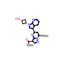 CNC(=O)c1cnn2c(NC)cc(-c3cn([C@H]4C[C@@H](O)C4)c4ncccc34)nc12